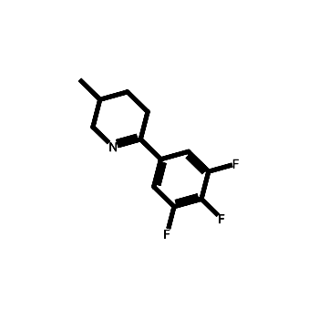 CC1CCC(c2cc(F)c(F)c(F)c2)=NC1